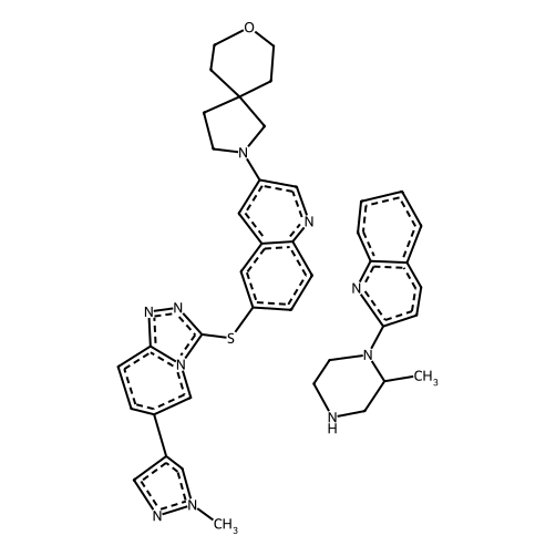 CC1CNCCN1c1ccc2ccccc2n1.Cn1cc(-c2ccc3nnc(Sc4ccc5ncc(N6CCC7(CCOCC7)C6)cc5c4)n3c2)cn1